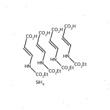 CCOC(=O)NC=CC(=O)O.CCOC(=O)NC=CC(=O)O.CCOC(=O)NC=CC(=O)O.CCOC(=O)NC=CC(=O)O.[SiH4]